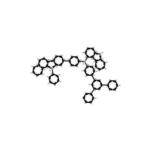 c1ccc(-c2cc(-c3ccccc3)cc(-c3ccc(N(c4ccc(-c5ccc6c7ccc8ccccc8c7n(-c7ccccc7)c6c5)cc4)c4cccc5sc6ccccc6c45)cc3)c2)cc1